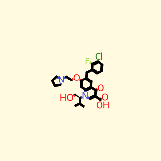 CC(C)[C@@H](CO)n1cc(C(=O)O)c(=O)c2cc(Cc3cccc(Cl)c3F)c(OCCN3CCCC3)cc21